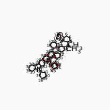 CC1(C)c2ccccc2C2(c3ccccc3-c3ccc(-c4ccc(N(c5ccc6c7ccccc7n(-c7ccccc7)c6c5)c5ccccc5-c5ccccc5-c5ccccc5-c5ccccc5)cc4)cc32)c2ccccc21